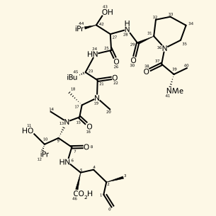 C=C[C@H](C)C[C@H](NC(=O)[C@H]([C@@H](O)C(C)C)N(C)C(=O)[C@H](C)N(C)C(=O)C(NC(=O)C(NC(=O)[C@H]1CCCCN1C(=O)[C@H](C)NC)[C@H](O)C(C)C)[C@@H](C)CC)C(=O)O